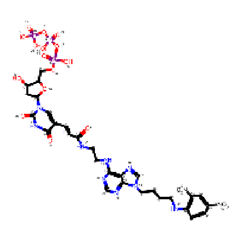 O=C(/C=C/c1cn(C2CC(O)C(COP(=O)(O)OP(=O)(O)OP(=O)(O)O)O2)c(=O)[nH]c1=O)NCCNc1ncnc2c1ncn2CCCCNc1ccc([N+](=O)[O-])cc1[N+](=O)[O-]